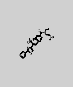 CCN(CCN(C)C)C(=O)c1ccc2cc(-c3csc(-c4ccncc4)n3)c(=O)[nH]c2c1